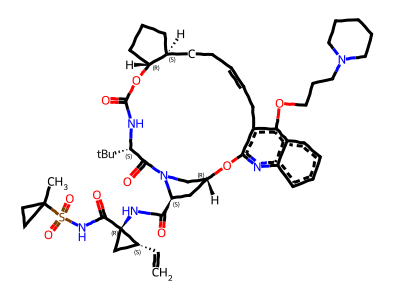 C=C[C@@H]1C[C@]1(NC(=O)[C@@H]1C[C@@H]2CN1C(=O)[C@H](C(C)(C)C)NC(=O)O[C@@H]1CCC[C@H]1CCC=CCc1c(nc3ccccc3c1OCCCN1CCCCC1)O2)C(=O)NS(=O)(=O)C1(C)CC1